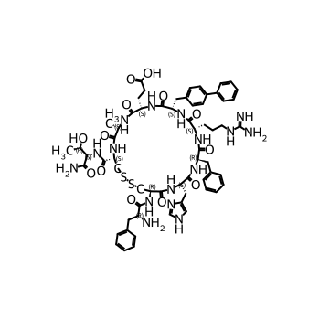 C[C@@H]1NC(=O)[C@H](CCC(=O)O)NC(=O)[C@H](Cc2ccc(-c3ccccc3)cc2)NC(=O)[C@H](CCCNC(=N)N)NC(=O)[C@@H](Cc2ccccc2)NC(=O)[C@H](Cc2c[nH]cn2)NC(=O)[C@@H](NC(=O)[C@H](N)Cc2ccccc2)CSSC[C@H](C(=O)N[C@H](C(N)=O)[C@@H](C)O)NC1=O